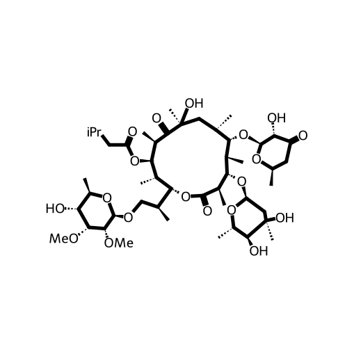 CO[C@@H]1[C@H](O)[C@@H](C)O[C@@H](OC[C@H](C)[C@H]2OC(=O)[C@H](C)[C@@H](O[C@H]3C[C@@](C)(O)[C@@H](O)[C@H](C)O3)[C@H](C)[C@@H](O[C@@H]3O[C@H](C)CC(=O)[C@H]3O)[C@@H](C)C[C@](C)(O)C(=O)[C@H](C)[C@H](OC(=O)CC(C)C)[C@H]2C)[C@@H]1OC